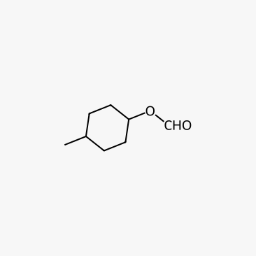 CC1CCC(OC=O)CC1